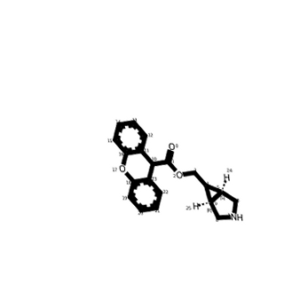 O=C(OCC1[C@H]2CNC[C@@H]12)C1c2ccccc2Oc2ccccc21